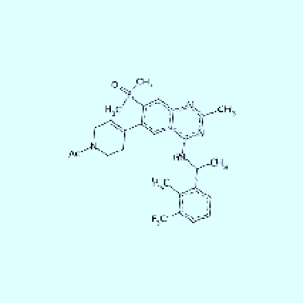 CC(=O)N1CC=C(c2cc3c(NC(C)c4cccc(C(F)(F)F)c4C)nc(C)nc3cc2P(C)(C)=O)CC1